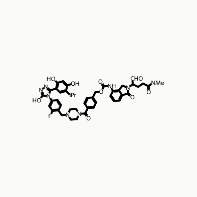 CNC(=O)CCC(C=O)N1Cc2c(NC(=O)OCc3ccc(C(=O)N4CCN(Cc5ccc(-n6c(O)nnc6-c6cc(C(C)C)c(O)cc6O)cc5F)CC4)cc3)cccc2C1=O